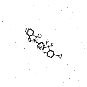 O=C(Nc1ccn(Cc2ccc(C3CC3)cc2C(F)(F)F)n1)c1ccncc1F